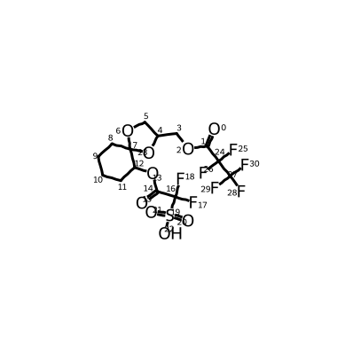 O=C(OCC1COC2(CCCCC2OC(=O)C(F)(F)S(=O)(=O)O)O1)C(F)(F)C(F)(F)F